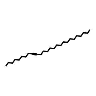 [CH2]CCCCCCCC#CCCCCCCCCCCCCCCC[CH2]